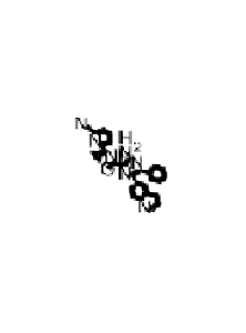 N#Cc1cccc(C2(NC(=O)c3nc(-c4ccc5ncccc5c4)c(-c4ccccc4)nc3N)CC2)n1